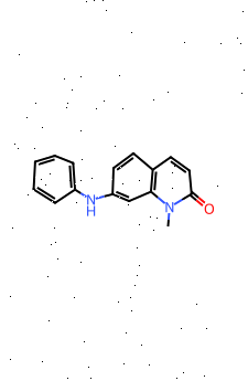 Cn1c(=O)ccc2ccc(Nc3ccccc3)cc21